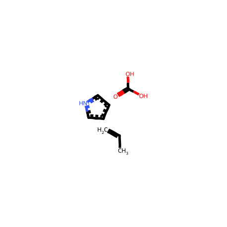 C=CC.O=C(O)O.c1cc[nH]c1